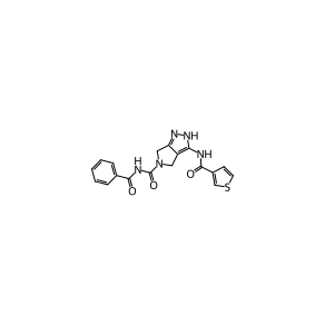 O=C(NC(=O)N1Cc2n[nH]c(NC(=O)c3ccsc3)c2C1)c1ccccc1